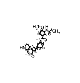 C=CC(=O)Nc1cc(C(=O)Nc2cc(-c3cc4c([nH]3)C3(CCCNC3)CNC4=O)ccn2)ccc1OC